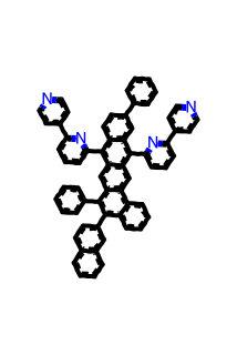 c1ccc(-c2ccc3c(-c4cccc(-c5ccncc5)n4)c4cc5c(-c6ccccc6)c(-c6ccc7ccccc7c6)c6ccccc6c5cc4c(-c4cccc(-c5ccncc5)n4)c3c2)cc1